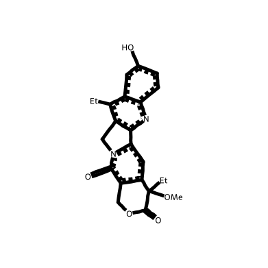 CCc1c2c(nc3ccc(O)cc13)-c1cc3c(c(=O)n1C2)COC(=O)C3(CC)OC